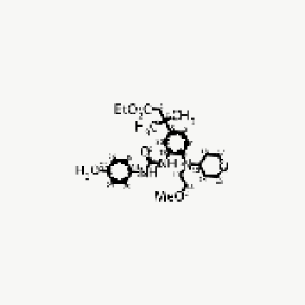 CCOC(=O)CC(C)(C)c1ccc(N(CCOC)C2CCOCC2)c(NC(=O)Nc2ccc(C)cc2)c1